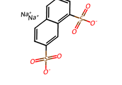 O=S(=O)([O-])c1ccc2cccc(S(=O)(=O)[O-])c2c1.[Na+].[Na+]